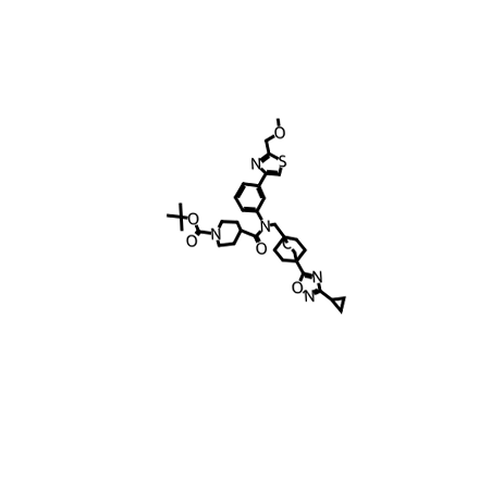 COCc1nc(-c2cccc(N(CC34CCC(c5nc(C6CC6)no5)(CC3)CC4)C(=O)C3CCN(C(=O)OC(C)(C)C)CC3)c2)cs1